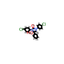 C[C@H]1N(c2ccc(Cl)cc2)C(=O)N(c2ccc(Cl)cc2)C1(O)c1ccccc1